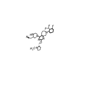 CN1CCC[C@H]1COc1nc2c(c(N3CCNC(CC#N)C3)n1)CCCN(c1cccc(F)c1C(F)F)C2